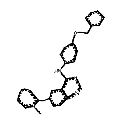 C[n+]1ccccc1-c1ccc2ncnc(Nc3ccc(OCc4ccccc4)cc3)c2c1